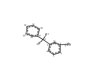 CC(C)c1cccc(C(F)(F)c2cccnc2)c1